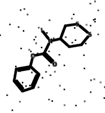 O=C(Oc1ccccc1)N(I)C1CCSSC1